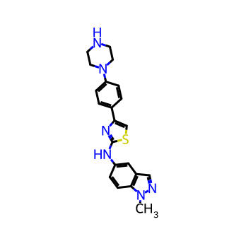 Cn1ncc2cc(Nc3nc(-c4ccc(N5CCNCC5)cc4)cs3)ccc21